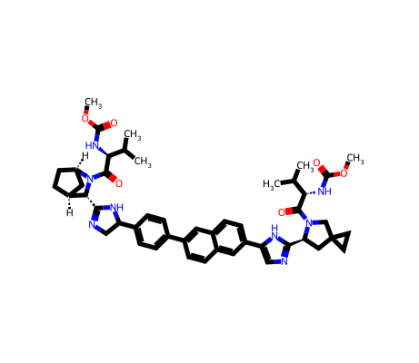 COC(=O)N[C@H](C(=O)N1CC2(CC2)C[C@H]1c1ncc(-c2ccc3cc(-c4ccc(C5CN=C([C@@H]6[C@H]7CC[C@H](C7)N6C(=O)[C@@H](NC(=O)OC)C(C)C)N5)cc4)ccc3c2)[nH]1)C(C)C